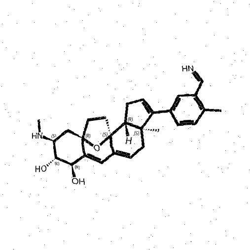 CN[C@H]1C[C@@]23CC[C@@]4(O2)C(=CC[C@]2(C)C(c5ccc(C)c(C=N)c5)=CC[C@H]24)C=C3[C@@H](O)[C@@H]1O